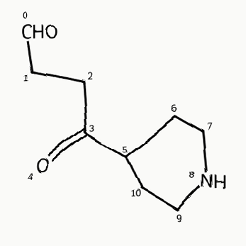 O=CCCC(=O)C1CCNCC1